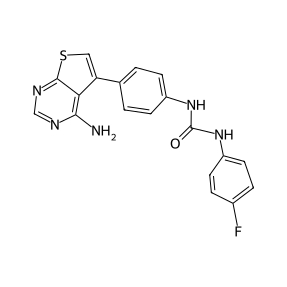 Nc1ncnc2scc(-c3ccc(NC(=O)Nc4ccc(F)cc4)cc3)c12